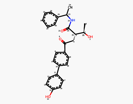 C[C@@H](O)[C@H](CC(=O)c1ccc(-c2ccc(O)cc2)cc1)C(=O)NC(C#N)c1ccccc1